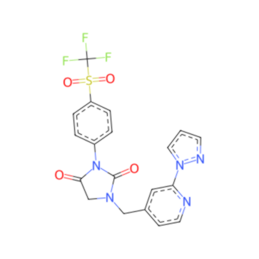 O=C1CN(Cc2ccnc(-n3cccn3)c2)C(=O)N1c1ccc(S(=O)(=O)C(F)(F)F)cc1